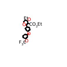 CCOC(=O)C1=C(c2ccc(Oc3cccc(OC(F)(F)F)c3)cc2)OCC(CC)C1=O